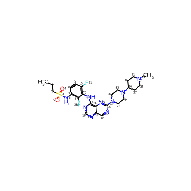 CCCS(=O)(=O)Nc1ccc(F)c(Nc2ncnc3cnc(N4CCN(C5CCN(C)CC5)CC4)nc23)c1F